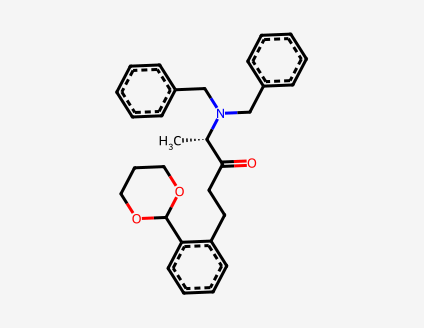 C[C@@H](C(=O)CCc1ccccc1C1OCCCO1)N(Cc1ccccc1)Cc1ccccc1